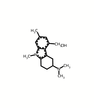 Cc1cc(C)c2c3c(n(C)c2c1)CCC(N(C)C)C3.Cl